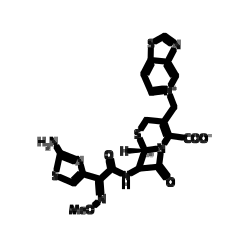 CON=C(C(=O)NC1C(=O)N2C(C(=O)[O-])=C(C[n+]3ccc4scnc4c3)CS[C@@H]12)c1csc(N)n1